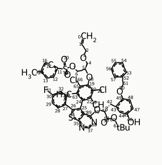 C=CCOC[C@H](COS(=O)(=O)c1ccc(C)cc1)Oc1c(Cl)c(C)c(-c2c(-c3ccc(F)cc3)sc3ncnc(O[C@H](Cc4cc(O)ccc4OCc4ccccc4)C(=O)OC(C)(C)C)c23)c(C)c1Cl